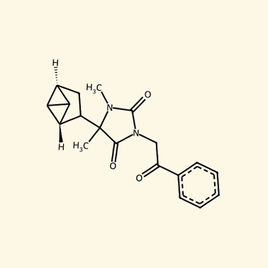 CN1C(=O)N(CC(=O)c2ccccc2)C(=O)C1(C)C1C[C@H]2C3C2[C@@H]13